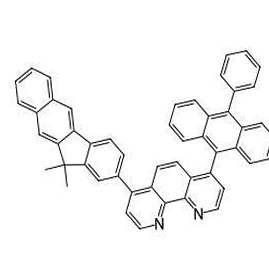 CC1(C)c2cc(-c3ccnc4c3ccc3c(-c5c6ccccc6c(-c6ccccc6)c6ccccc56)ccnc34)ccc2-c2cc3ccccc3cc21